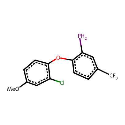 COc1ccc(Oc2ccc(C(F)(F)F)cc2P)c(Cl)c1